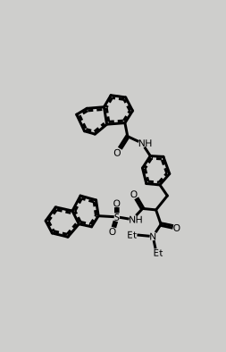 CCN(CC)C(=O)C(Cc1ccc(NC(=O)c2cccc3ccccc23)cc1)C(=O)NS(=O)(=O)c1ccc2ccccc2c1